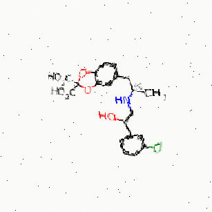 C[C@H](Cc1ccc2c(c1)OC(C(=O)O)(C(=O)O)O2)NCC(O)c1cccc(Cl)c1